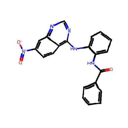 O=C(Nc1ccccc1Nc1ncnc2cc([N+](=O)[O-])ccc12)c1ccccc1